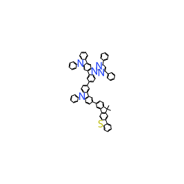 CC1(C)c2ccc(-c3ccc4c(c3)c3cc(-c5ccc6c(c5)c5cc7c(cc5n6-c5nc(-c6ccccc6)cc(-c6ccccc6)n5)c5ccccc5n7-c5ccccc5)ccc3n4-c3ccccc3)cc2-c2cc3sc4ccccc4c3cc21